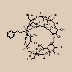 OCC1O[C@@H]2O[C@@H]3C4CNCCCCN(CCCc5ccccc5)CC5O[C@H](O[C@@H]6C(CO)O[C@H](O[C@H]1C(O)C2O)C(O)C6O)C(O)C(O)[C@@H]5O[C@H]1OC(CO)[C@@H](O[C@H]2OC(CO)[C@@H](O[C@@H](O4)C(O)C3O)C(O)C2O)C(O)C1O